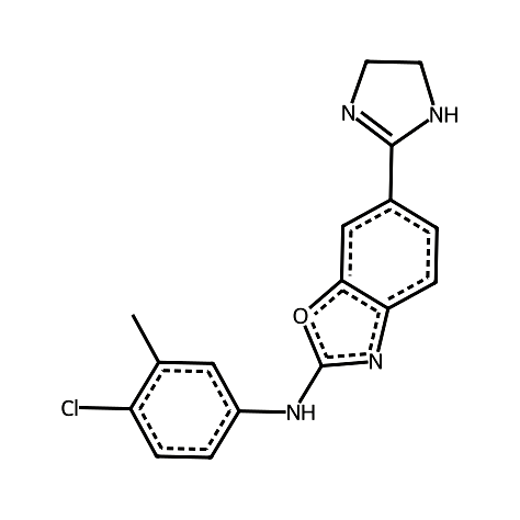 Cc1cc(Nc2nc3ccc(C4=NCCN4)cc3o2)ccc1Cl